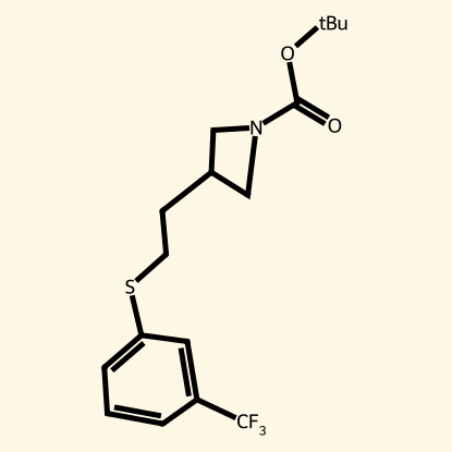 CC(C)(C)OC(=O)N1CC(CCSc2cccc(C(F)(F)F)c2)C1